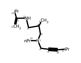 C=C(NCC(C)CN(CC#CC(C)C)CCC)C(C)C